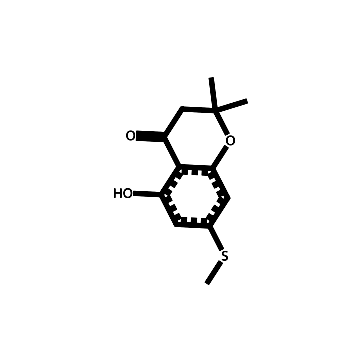 CSc1cc(O)c2c(c1)OC(C)(C)CC2=O